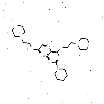 c1nc2c(NCCN3CCOCC3)nc(N3CCCCC3)nc2nc1NCCN1CCOCC1